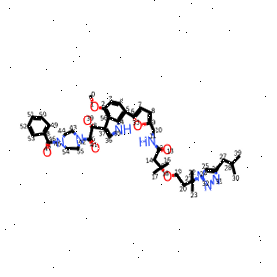 COc1ccc(-c2ccc(CNC(=O)CC(C)(C)OCCC(C)(C)n3cc(CC(C)C)nn3)o2)c2[nH]cc(C(=O)C(=O)N3CCN(C(=O)c4ccccc4)CC3)c12